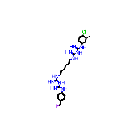 C[C@H]1CC(NC(=N)NC(=N)NCCCCCCNC(=N)NC(=N)Nc2ccc(CI)cc2)=CC=C1Cl